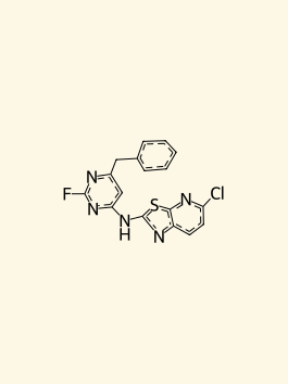 Fc1nc(Cc2ccccc2)cc(Nc2nc3ccc(Cl)nc3s2)n1